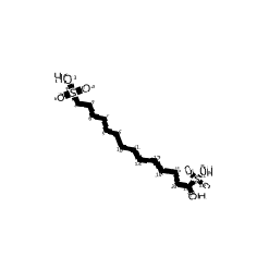 O=S(=O)(O)CCCCCCCCCCCCCC(O)S(=O)(=O)O